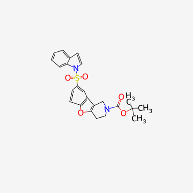 CC(C)(C)OC(=O)N1CCc2oc3ccc(S(=O)(=O)n4ccc5ccccc54)cc3c2C1